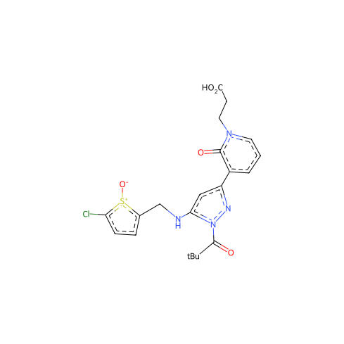 CC(C)(C)C(=O)n1nc(-c2cccn(CCC(=O)O)c2=O)cc1NCc1ccc(Cl)[s+]1[O-]